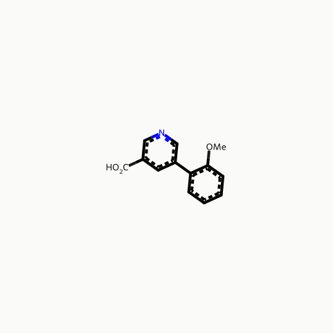 COc1ccccc1-c1cncc(C(=O)O)c1